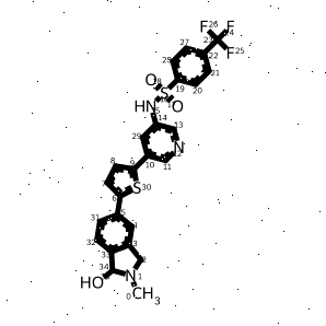 CN1Cc2cc(-c3ccc(-c4cncc(NS(=O)(=O)c5ccc(C(F)(F)F)cc5)c4)s3)ccc2C1O